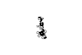 COc1c(Cl)cc(C(=O)NC[C@@H]2CCN(CCC3OCCO3)C[C@H]2O)c2c1OCCO2